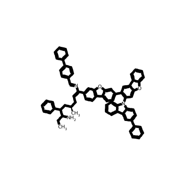 CCC(N)C(C[C@H](C)C/C=C(/N=C/c1ccc(-c2ccccc2)cc1)c1ccc2c(c1)oc1cc(-c3cc4c(cc3-n3c5ccccc5c5cc(-c6ccccc6)ccc53)oc3ccccc34)ccc12)c1ccccc1